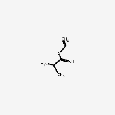 C=CSC(=N)C(C)C